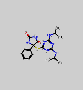 CC(C)Nc1nc(NC(C)C)nc(SC2(c3ccccc3)NC(=O)NC2=O)n1